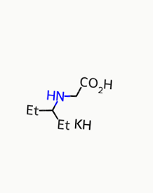 CCC(CC)NCC(=O)O.[KH]